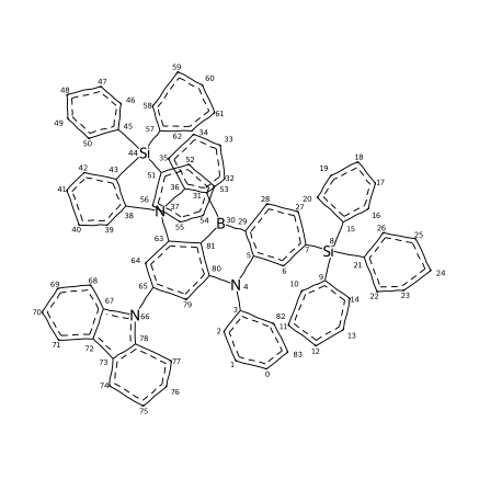 c1ccc(N2c3cc([Si](c4ccccc4)(c4ccccc4)c4ccccc4)ccc3B3c4ccccc4N(c4ccccc4[Si](c4ccccc4)(c4ccccc4)c4ccccc4)c4cc(-n5c6ccccc6c6ccccc65)cc2c43)cc1